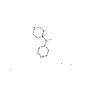 I[SiH](N1CCOCC1)N1CCOCC1